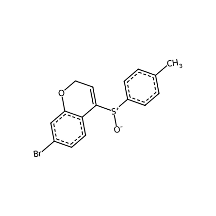 Cc1ccc([S+]([O-])C2=CCOc3cc(Br)ccc32)cc1